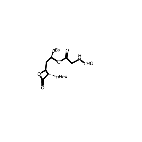 CCCCCC[C@@H]1C(=O)OC1C[C@@H](CCCC)OC(=O)CNC=O